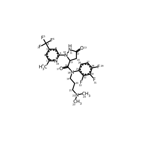 Cc1cc(C(F)(F)F)cc(N2NC(=O)CC2C(=O)N(CCCN(C)C)c2ccc(F)c(F)c2F)n1